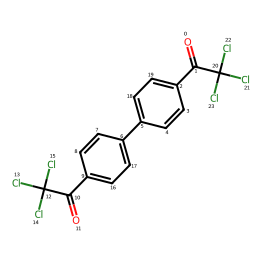 O=C(c1ccc(-c2ccc(C(=O)C(Cl)(Cl)Cl)cc2)cc1)C(Cl)(Cl)Cl